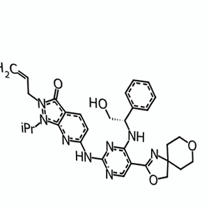 C=CCn1c(=O)c2ccc(Nc3ncc(C4=NC5(CCOCC5)CO4)c(N[C@H](CO)c4ccccc4)n3)nc2n1C(C)C